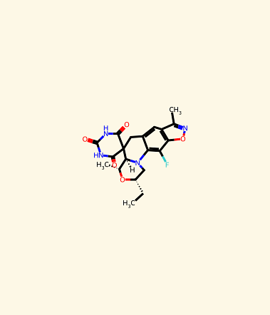 CC[C@H]1CN2c3c(cc4c(C)noc4c3F)CC3(C(=O)NC(=O)NC3=O)[C@@H]2[C@@H](C)O1